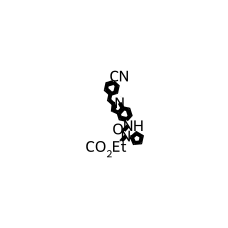 CCOC(=O)CN(C(=O)Nc1ccc2c(c1)cc(Cc1ccc(C#N)cc1)n2C)C1CCCC1